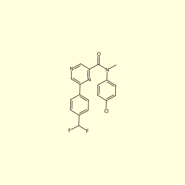 CN(C(=O)c1cncc(-c2ccc(C(F)F)cc2)n1)c1ccc(Cl)cc1